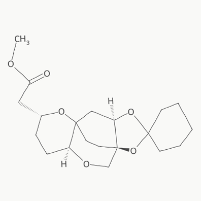 COC(=O)C[C@H]1CC[C@@H]2OC[C@]34CCC2(C[C@H]3OC2(CCCCC2)O4)O1